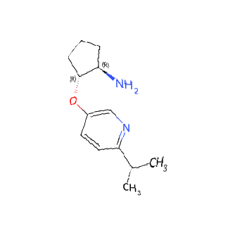 CC(C)c1ccc(O[C@@H]2CCC[C@H]2N)cn1